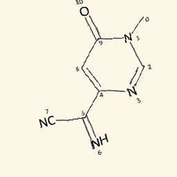 Cn1cnc(C(=N)C#N)cc1=O